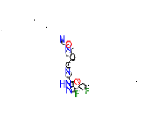 COc1ccc(F)cc1-c1c(F)cnc2[nH]c(C3CCN(CCCc4cccc5c4CCN(C(=O)CC#N)C5C)CC3)cc12